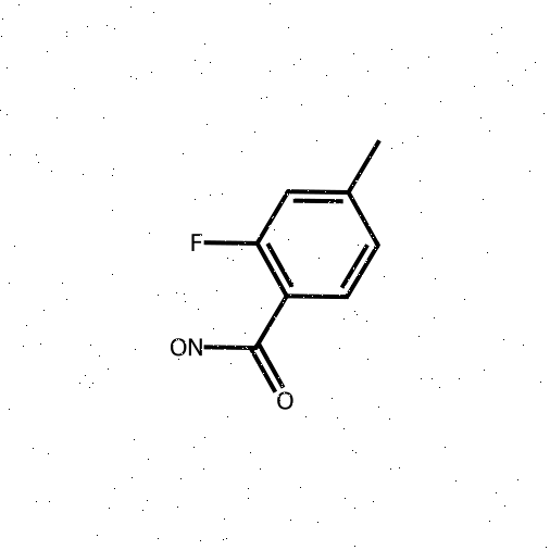 Cc1ccc(C(=O)N=O)c(F)c1